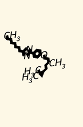 CCCCCCCCc1cnc(-c2ccc(OCCC(C)CCC3CC3(C)C)cc2)nc1